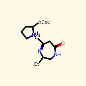 CCC1CNC(=O)CC(C)=N1.CCCCCCCCCCC1CCCN1